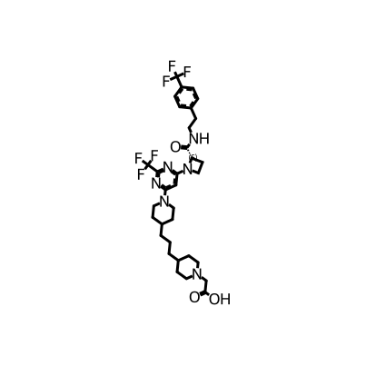 O=C(O)CN1CCC(CCCC2CCN(c3cc(N4CC[C@H]4C(=O)NCCc4ccc(C(F)(F)F)cc4)nc(C(F)(F)F)n3)CC2)CC1